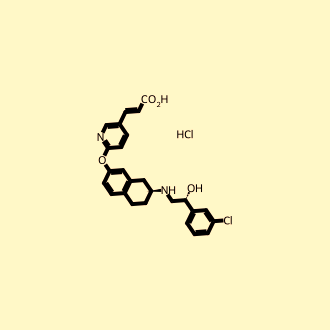 Cl.O=C(O)C=Cc1ccc(Oc2ccc3c(c2)C[C@@H](NC[C@H](O)c2cccc(Cl)c2)CC3)nc1